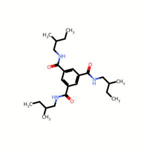 CCC(C)CNC(=O)c1cc(C(=O)NCC(C)CC)cc(C(=O)NCC(C)CC)c1